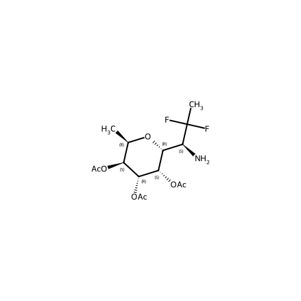 CC(=O)O[C@@H]1[C@H](OC(C)=O)[C@@H](OC(C)=O)[C@@H](C)O[C@@H]1[C@H](N)C(C)(F)F